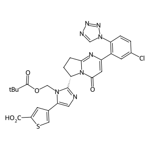 CC(C)(C)C(=O)OCn1c(-c2csc(C(=O)O)c2)cnc1[C@@H]1CCc2nc(-c3cc(Cl)ccc3-n3cnnn3)cc(=O)n21